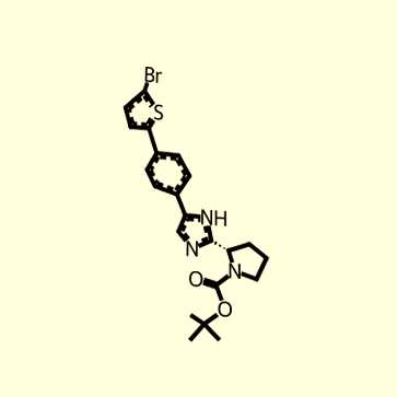 CC(C)(C)OC(=O)N1CCC[C@H]1c1ncc(-c2ccc(-c3ccc(Br)s3)cc2)[nH]1